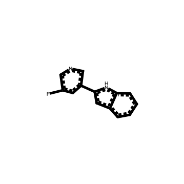 Fc1cncc(-c2cc3ccccc3[nH]2)c1